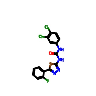 O=C(Nc1ccc(Cl)c(Cl)c1)Nc1nnc(-c2ccccc2F)s1